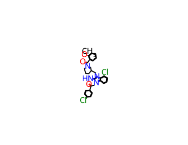 COc1ccccc1C(=O)N1CCCC(Cn2c(=N)n(CC(=O)c3ccc(Cl)cc3)c3cccc(Cl)c32)C1